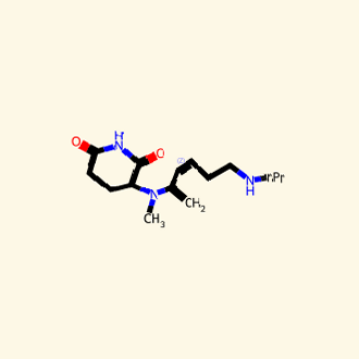 C=C(/C=C\CCNCCC)N(C)C1CCC(=O)NC1=O